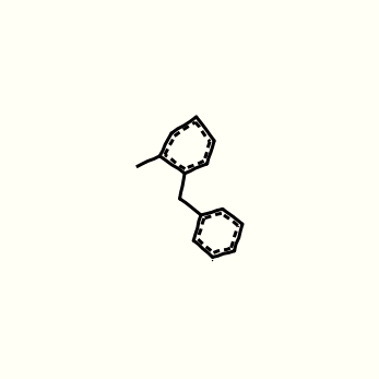 Cc1ccccc1Cc1c[c]ccc1